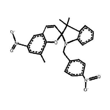 Cc1cc([N+](=O)[O-])cc2c1OC1(C=C2)N(Cc2ccc([N+](=O)[O-])cc2)c2ccccc2C1(C)C